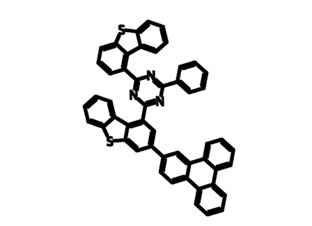 c1ccc(-c2nc(-c3cccc4sc5ccccc5c34)nc(-c3cc(-c4ccc5c6ccccc6c6ccccc6c5c4)cc4sc5ccccc5c34)n2)cc1